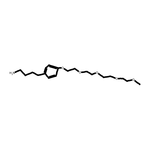 COCCOCCOCCOCCOc1ccc(CCCCN)cc1